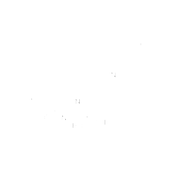 CC1(C)c2ccc(N3CCC(C=O)CC3)cc2-n2c1nc(=O)c1c(Cl)cccc12